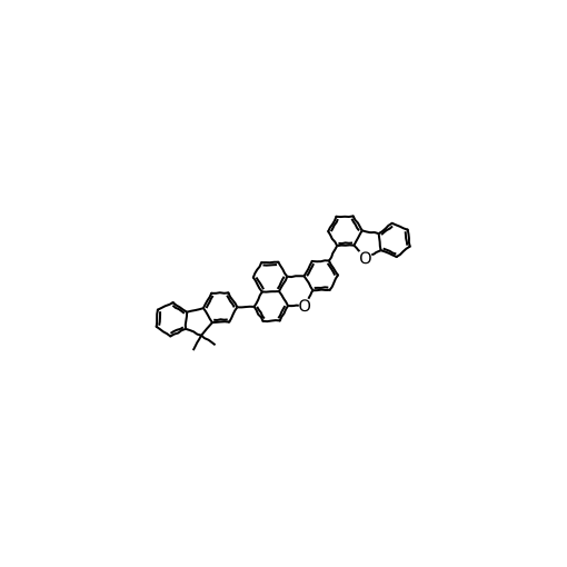 CC1(C)c2ccccc2-c2ccc(-c3ccc4c5c(cccc35)-c3cc(-c5cccc6c5oc5ccccc56)ccc3O4)cc21